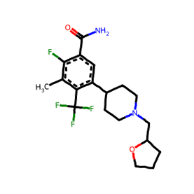 Cc1c(F)c(C(N)=O)cc(C2CCN(CC3CCCO3)CC2)c1C(F)(F)F